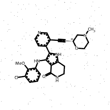 COc1c(Cl)cccc1Nc1c(-c2ccncc2C#C[C@@H]2CN(C)CCO2)[nH]c2c1C(=O)NCC2